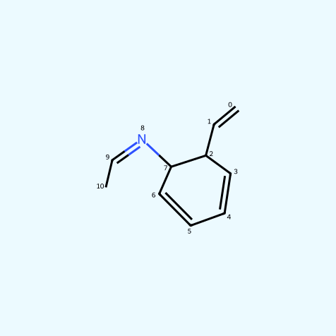 C=CC1C=CC=CC1/N=C\C